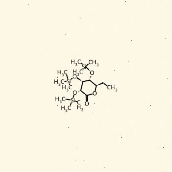 CC[C@H]1OC(=O)[C@H](O[Si](C)(C)C)[C@@H](O[Si](C)(C)C)[C@@H]1O[Si](C)(C)C